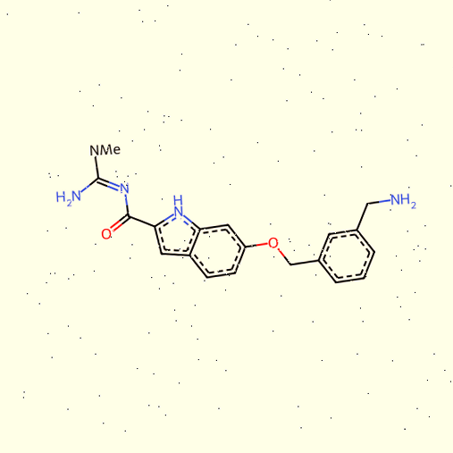 CNC(N)=NC(=O)c1cc2ccc(OCc3cccc(CN)c3)cc2[nH]1